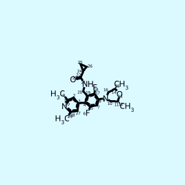 Cc1cc(-c2c(F)cc(N3C[C@@H](C)O[C@@H](C)C3)c(F)c2CNC(=O)C2CC2)cc(C)n1